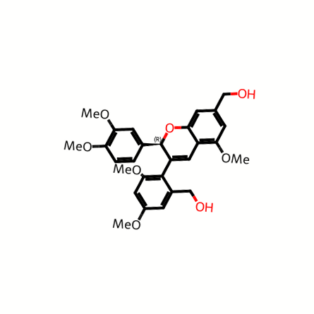 COc1cc(CO)c(C2=Cc3c(OC)cc(CO)cc3O[C@@H]2c2ccc(OC)c(OC)c2)c(OC)c1